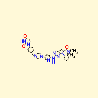 CN(C)C(=O)c1cc2cnc(Nc3ccc(N4CCN(Cc5ccc(N6CCC(=O)NC6=O)cc5)CC4)cn3)nc2n1C1CCCC1